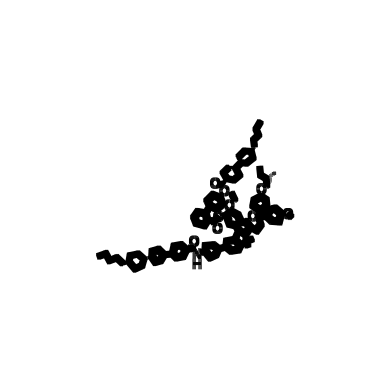 CCCCC[C@H]1CC[C@H](c2ccc(-c3ccc(C(=O)Nc4ccc(-c5ccc6c(c5)-c5c(c7c(c8cc(OCC)c(OC(=O)c9ccccc9-c9ccc(OC(=O)[C@H]%10CC[C@H]([C@H]%11CC[C@H](CCCCC)CC%11)CC%10)cc9)cc58)OC(c5ccc(OC)cc5)(c5ccc(OC[C@@H](C)CC)cc5)C=C7)C6(C)C)cc4)cc3)cc2)CC1